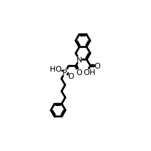 O=C(O)C1=Cc2ccccc2CN1C(=O)CP(=O)(O)CCCCc1ccccc1